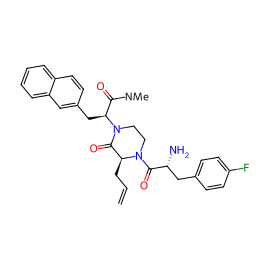 C=CC[C@H]1C(=O)N([C@@H](Cc2ccc3ccccc3c2)C(=O)NC)CCN1C(=O)[C@H](N)Cc1ccc(F)cc1